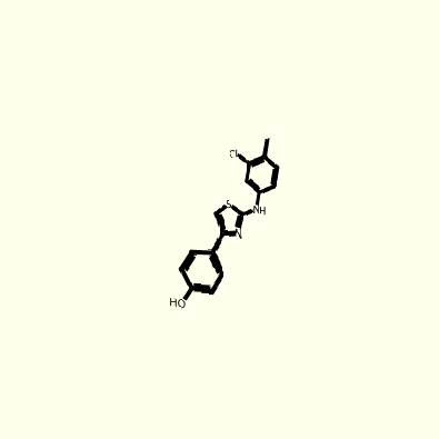 Cc1ccc(Nc2nc(-c3ccc(O)cc3)cs2)cc1Cl